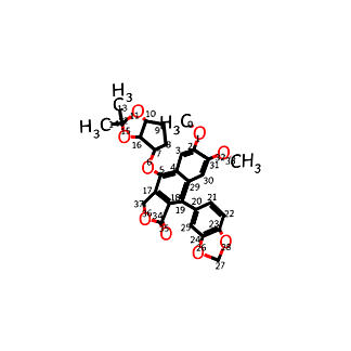 COc1cc2c(OC3CCC4OC(C)(C)OC34)c3c(c(-c4ccc5c(c4)OCO5)c2cc1OC)C(=O)OC3